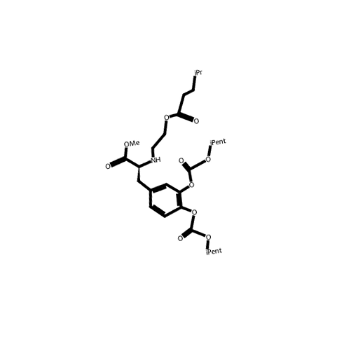 CCCC(C)OC(=O)Oc1ccc(C[C@H](NCCOC(=O)CCC(C)C)C(=O)OC)cc1OC(=O)OC(C)CCC